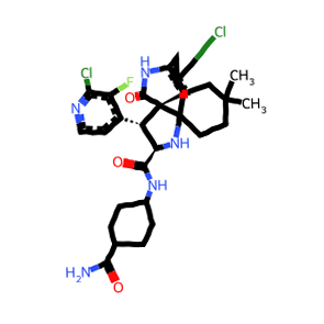 CC1(C)CCC2(CC1)N[C@@H](C(=O)NC1CCC(C(N)=O)CC1)[C@H](c1ccnc(Cl)c1F)[C@]21C(=O)Nc2cc(Cl)ccc21